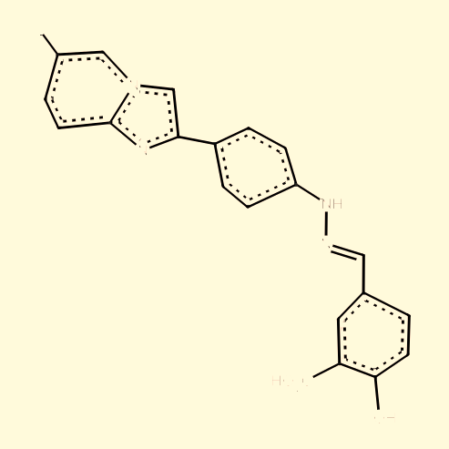 O=C(O)c1cc(C=NNc2ccc(-c3cn4cc(I)ccc4n3)cc2)ccc1O